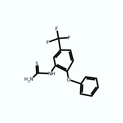 NC(=S)Nc1cc(C(F)(F)F)ccc1Oc1ccccc1